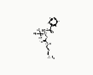 CCCCNC(=O)SN(NC(=O)c1ccccc1)C(F)(F)F